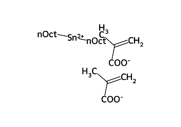 C=C(C)C(=O)[O-].C=C(C)C(=O)[O-].CCCCCCC[CH2][Sn+2][CH2]CCCCCCC